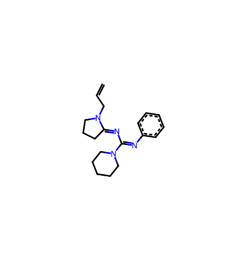 C=CCN1CCCC1=NC(=Nc1ccccc1)N1CCCCC1